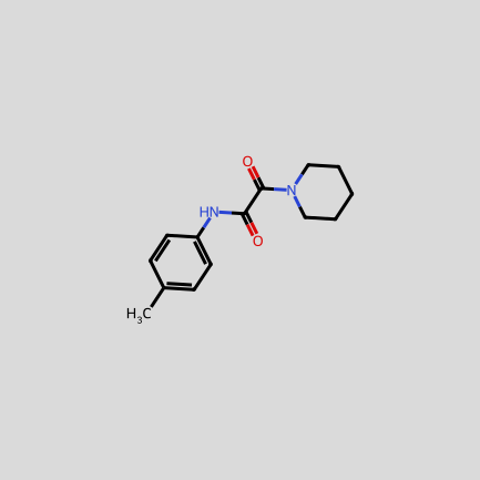 Cc1ccc(NC(=O)C(=O)N2CCCCC2)cc1